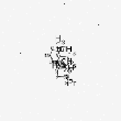 CC(C)[C@H]1CC[C@H]2[C@@H](CC=C3C(C)(C)CC=C[C@@]32C)C1